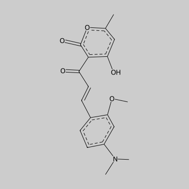 COc1cc(N(C)C)ccc1/C=C/C(=O)c1c(O)cc(C)oc1=O